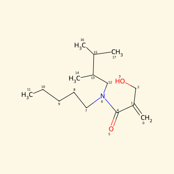 C=C(CO)C(=O)N(CCCCC)CC(C)C(C)C